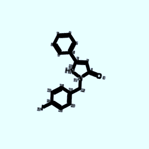 O=c1cc(-c2ccccc2)[nH]n1Cc1ccc(I)cc1